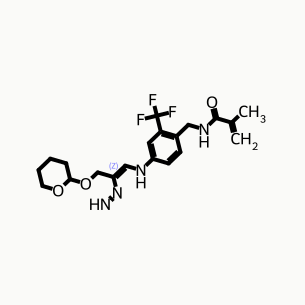 C=C(C)C(=O)NCc1ccc(N/C=C(/COC2CCCCO2)N=N)cc1C(F)(F)F